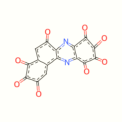 O=c1cc2c3nc4c(=O)c(=O)c(=O)c(=O)c4nc3c(=O)cc-2c(=O)c1=O